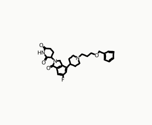 O=C1CCC(N2Cc3c(cc(F)cc3C3CCN(CCCOCc4ccccc4)CC3)C2=O)C(=O)N1